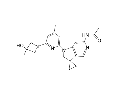 CC(=O)Nc1cc2c(cn1)C1(CC1)CN2c1cc(C)cc(N2CC(C)(O)C2)n1